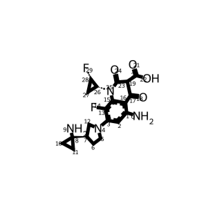 Nc1cc(N2CC[C@@H](C3(N)CC3)C2)c(F)c2c1C(=O)C(C(=O)O)C(=O)N2[C@@H]1C[C@@H]1F